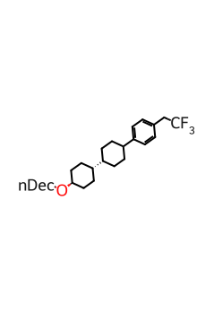 CCCCCCCCCCO[C@H]1CC[C@H](C2CCC(c3ccc(CC(F)(F)F)cc3)CC2)CC1